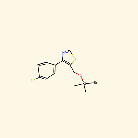 CC(C)(C)[Si](C)(C)OCc1scnc1-c1ccc(F)cc1